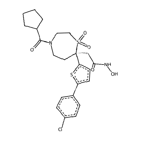 O=C(C[C@]1(c2ccc(-c3ccc(Cl)cc3)s2)CCN(C(=O)C2CCCC2)CCS1(=O)=O)NO